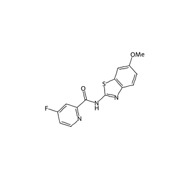 COc1ccc2nc(NC(=O)c3cc(F)ccn3)sc2c1